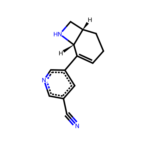 N#Cc1cncc(C2=CCC[C@H]3CN[C@@H]23)c1